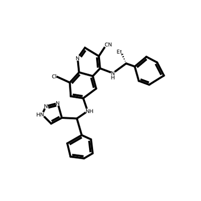 CC[C@@H](Nc1c(C#N)cnc2c(Cl)cc(NC(c3ccccc3)c3c[nH]nn3)cc12)c1ccccc1